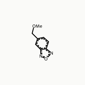 COCc1ccc2nonc2c1